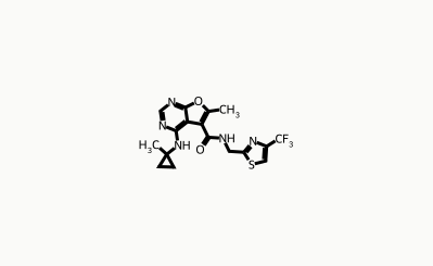 Cc1oc2ncnc(NC3(C)CC3)c2c1C(=O)NCc1nc(C(F)(F)F)cs1